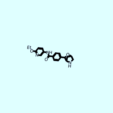 CCOc1ccc(NC(=O)c2ccc(C3OC4CNC3C4)cc2)cn1